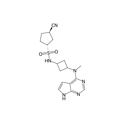 CN(c1ncnc2[nH]ccc12)C1CC(NS(=O)(=O)[C@@H]2CC[C@@H](C#N)C2)C1